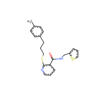 Cc1ccc(CCCSc2ncccc2C(=O)NCc2cccs2)cc1